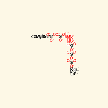 O=[Si]([O-])[O-].O=[Si]([O-])[O-].O=[Si]([O-])[O-].O=[Si]([O-])[O-].O=[Si]([O-])[O-].[Ca+2].[Ca+2].[Ca+2].[Mg+2].[Mg+2].[Mg+2].[Na+].[Na+].[Na+].[OH-].[OH-].[OH-].[OH-].[OH-]